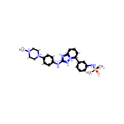 C=S(C)(=O)Nc1cccc(-c2cccc3nc(Nc4ccc(N5CCN(C)CC5)cc4)nn23)c1